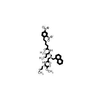 CC[C@H](C)[C@@H](CN(CC(=O)N[C@@H](CCSC)C(=O)OC)Cc1cccc2ccccc12)NC(=O)CCCCc1ccc([N+](=O)[O-])cc1[N+](=O)[O-]